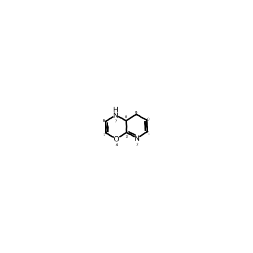 C1=CN=C2OC=CNC2C1